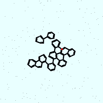 c1ccc(-c2cccc3c2ccc2ccccc23)c(-c2ccc3c(ccc4ccccc43)c2-c2ccccc2-c2cccc3ccccc23)c1.c1ccc(-c2ccccc2)cc1